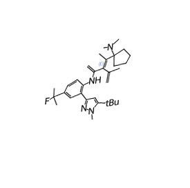 C=C(C)/C(C(=C)Nc1ccc(C(C)(C)F)cc1-c1cc(C(C)(C)C)n(C)n1)=C(/C)C1(N(C)C)CCCC1